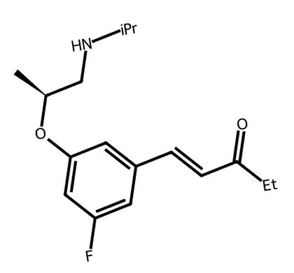 CCC(=O)/C=C/c1cc(F)cc(O[C@@H](C)CNC(C)C)c1